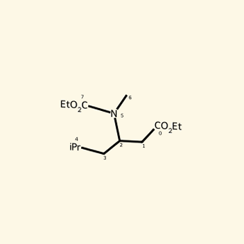 CCOC(=O)CC(CC(C)C)N(C)C(=O)OCC